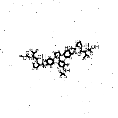 COC(=O)N[C@H](C(=O)N1CCC[C@H]1c1nc2ccc([C@H]3CC[C@H](c4ccc5nc([C@@H]6CCCN6C(=O)[C@@H](NC(=O)O)C(C)C)[nH]c5c4)N3c3ccc(NC(C)(C)C)c(F)c3)cc2[nH]1)C(C)C